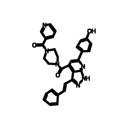 O=C(c1cccnc1)N1CCN(C(=O)c2cc(-c3ccc(O)cc3)nc3[nH]nc(/C=C/c4ccccc4)c23)CC1